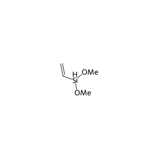 C=C[SiH](OC)OC